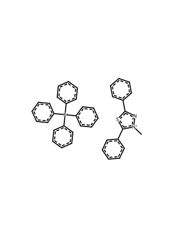 C[n+]1nc(-c2ccccc2)sc1-c1ccccc1.c1ccc([B-](c2ccccc2)(c2ccccc2)c2ccccc2)cc1